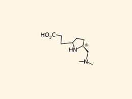 CN(C)C[C@@H]1CCC(CCC(=O)O)N1